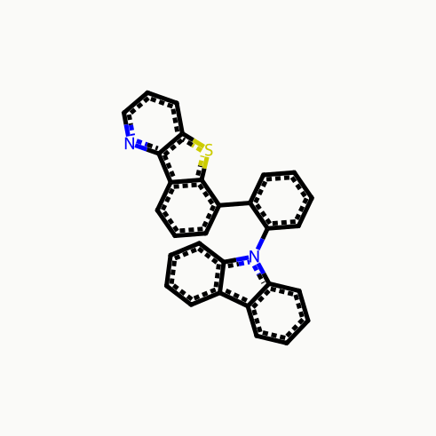 c1ccc(-n2c3ccccc3c3ccccc32)c(-c2cccc3c2sc2cccnc23)c1